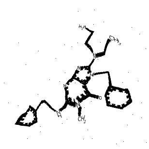 CCN(CCN)c1nc2nc(NCc3ccccc3)n(C)c(=O)c2n1Cc1ccccc1